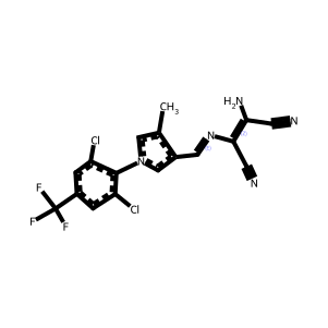 Cc1cn(-c2c(Cl)cc(C(F)(F)F)cc2Cl)cc1/C=N/C(C#N)=C(\N)C#N